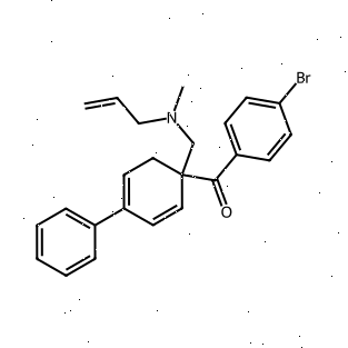 C=CCN(C)CC1(C(=O)c2ccc(Br)cc2)C=CC(c2ccccc2)=CC1